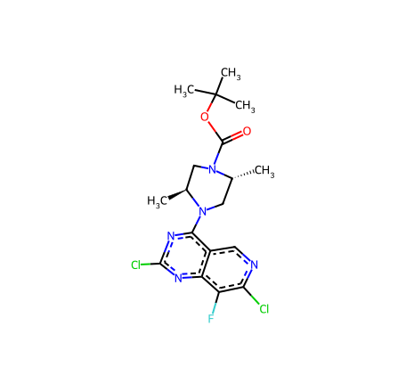 C[C@@H]1CN(c2nc(Cl)nc3c(F)c(Cl)ncc23)[C@@H](C)CN1C(=O)OC(C)(C)C